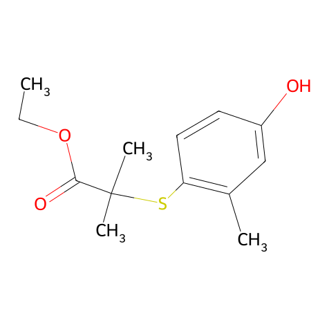 CCOC(=O)C(C)(C)Sc1ccc(O)cc1C